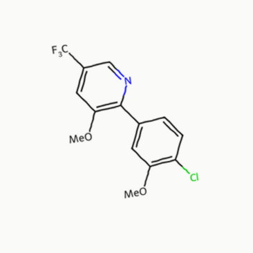 COc1cc(-c2ncc(C(F)(F)F)cc2OC)ccc1Cl